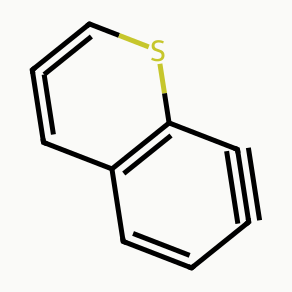 C1=CSc2c#cccc2C=1